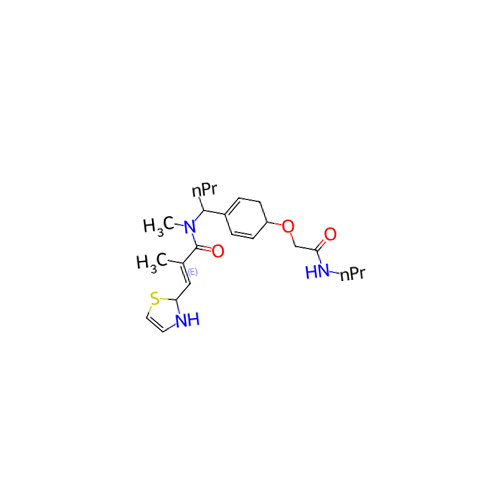 CCCNC(=O)COC1C=CC(C(CCC)N(C)C(=O)/C(C)=C/C2NC=CS2)=CC1